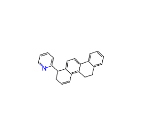 C1=Cc2c(ccc3c2CCc2ccccc2-3)C(c2ccccn2)C1